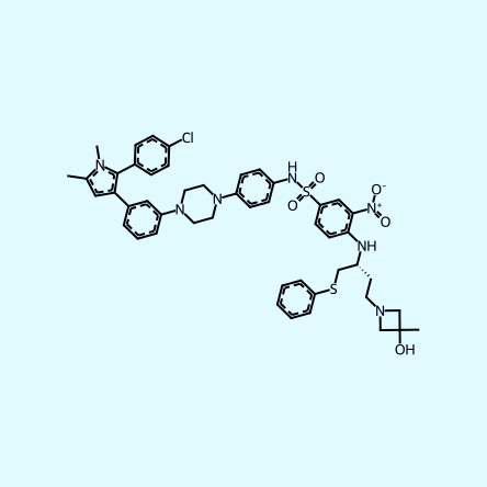 Cc1cc(-c2cccc(N3CCN(c4ccc(NS(=O)(=O)c5ccc(N[C@H](CCN6CC(C)(O)C6)CSc6ccccc6)c([N+](=O)[O-])c5)cc4)CC3)c2)c(-c2ccc(Cl)cc2)n1C